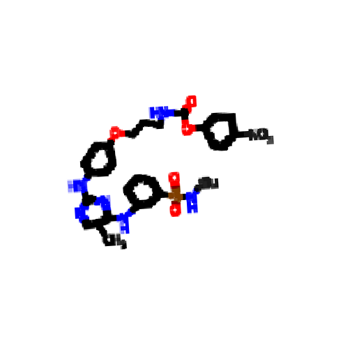 Cc1cnc(Nc2ccc(OCCCNC(=O)Oc3ccc([N+](=O)[O-])cc3)cc2)nc1Nc1cccc(S(=O)(=O)NC(C)(C)C)c1